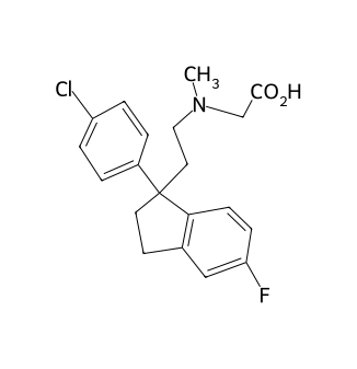 CN(CCC1(c2ccc(Cl)cc2)CCc2cc(F)ccc21)CC(=O)O